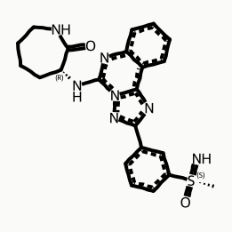 C[S@](=N)(=O)c1cccc(-c2nc3c4ccccc4nc(N[C@@H]4CCCCNC4=O)n3n2)c1